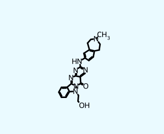 CN1CCc2ccc(Nc3ncc4c(=O)n5c(nc4n3)c3ccccc3n5CCO)cc2CC1